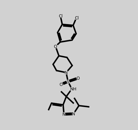 C/C=C(\N=N/C(C)C)C(C)(C)NS(=O)(=O)N1CCC(Oc2ccc(Cl)c(Cl)c2)CC1